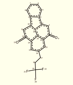 O=c1cc2c3ccccc3c3cc(=O)c4cc(CCC(F)(F)F)cc1c4n23